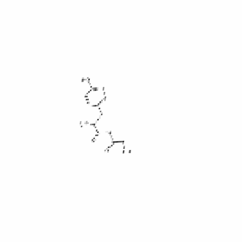 NC(Cc1ccc(O)cc1)C(=O)OC(=O)CO